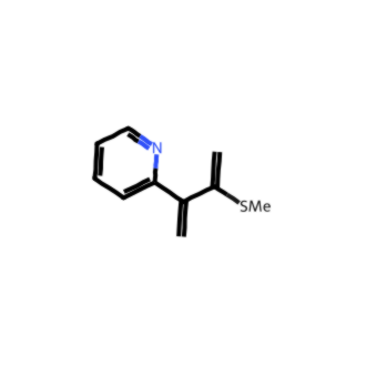 C=C(SC)C(=C)c1ccccn1